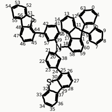 c1ccc(C2(c3ccccc3)c3ccccc3-c3c(N(c4cccc(-c5cccc6c5sc5ccccc56)c4)c4cccc(-c5cccc6c5sc5ccccc56)c4)cccc32)cc1